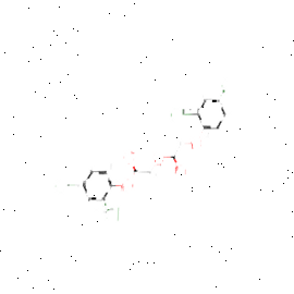 O=C(COc1ccc(Cl)cc1Cl)OCC(=O)Oc1ccc(Cl)cc1Cl